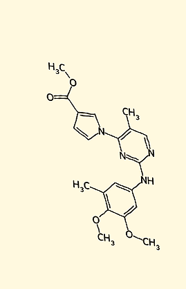 COC(=O)c1ccn(-c2nc(Nc3cc(C)c(OC)c(OC)c3)ncc2C)c1